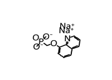 O=P([O-])([O-])COc1cccc2cccnc12.[Na+].[Na+]